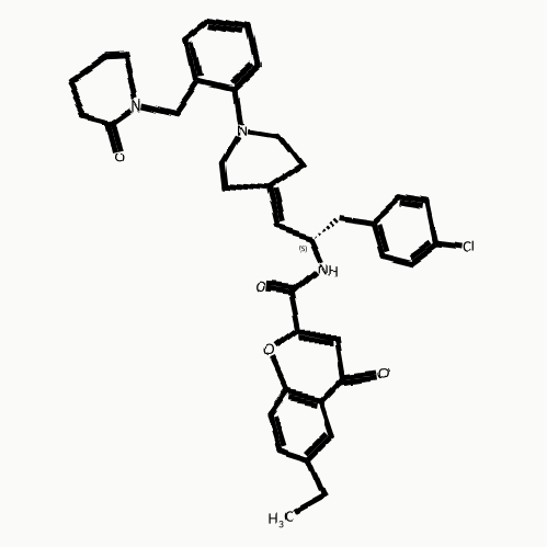 CCc1ccc2oc(C(=O)N[C@H](C=C3CCN(c4ccccc4CN4CCCCC4=O)CC3)Cc3ccc(Cl)cc3)cc(=O)c2c1